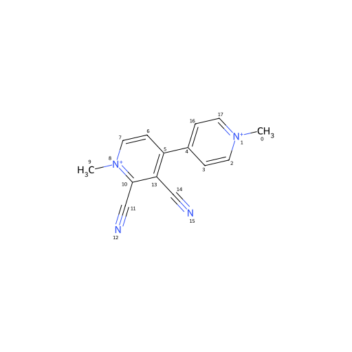 C[n+]1ccc(-c2cc[n+](C)c(C#N)c2C#N)cc1